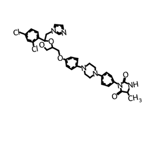 CC1NC(=O)N(c2ccc(N3CCN(c4ccc(OCC5COC(Cn6ccnc6)(c6ccc(Cl)cc6Cl)O5)cc4)CC3)cc2)C1=O